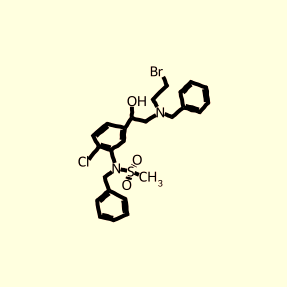 CS(=O)(=O)N(Cc1ccccc1)c1cc(C(O)CN(CCBr)Cc2ccccc2)ccc1Cl